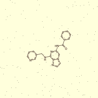 O=C(Nc1cn2ccnc2c(NCc2cccnc2)n1)c1ccccc1